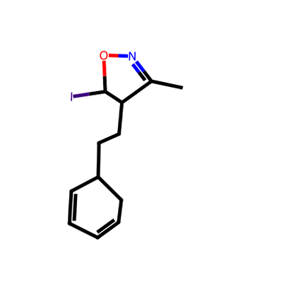 CC1=NOC(I)C1CCC1C=CC=CC1